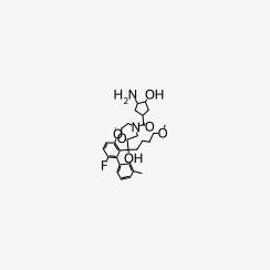 COCCCCC(O)(c1c(OC)ccc(F)c1-c1cccc(C)c1)C1CN(C(=O)C2CC(N)C(O)C2)CCO1